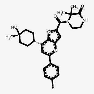 CC1(C)C(=O)NCCN1C(=O)c1cc2nc(-c3ccc(F)cc3)cc([C@H]3CC[C@@](C)(O)CC3)c2o1